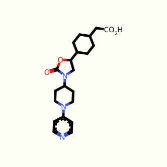 O=C(O)CC1CCC(C2CN(C3CCN(c4ccncc4)CC3)C(=O)O2)CC1